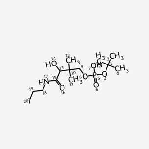 CC(C)(C)OP(=O)(O)OCC(C)(C)C(O)C(=O)NCCI